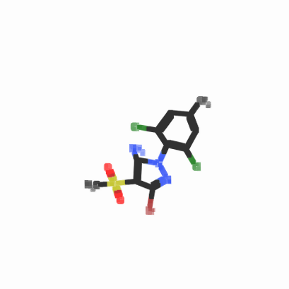 CS(=O)(=O)c1c(Br)nn(-c2c(Cl)cc(C(F)(F)F)cc2Cl)c1N